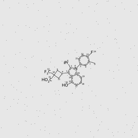 Cc1cc(-n2c(C(C)C)c(C3CC(C(=O)O)(C(F)(F)F)C3)c3c(O)cccc32)ccc1F